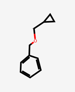 [CH](OCc1ccccc1)C1CC1